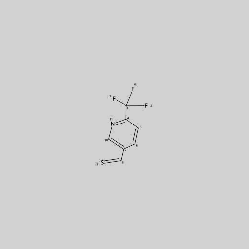 FC(F)(F)c1ccc(C=S)cn1